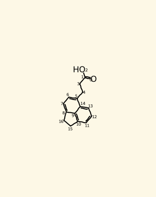 O=C(O)CCc1ccc2c3c(cccc13)CC2